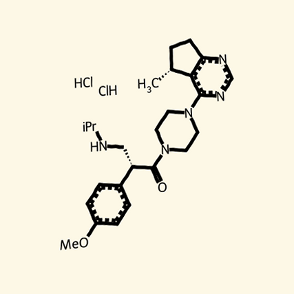 COc1ccc([C@H](CNC(C)C)C(=O)N2CCN(c3ncnc4c3[C@H](C)CC4)CC2)cc1.Cl.Cl